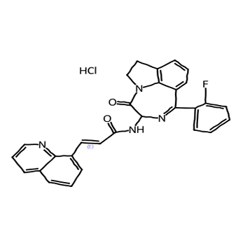 Cl.O=C(/C=C/c1cccc2cccnc12)NC1N=C(c2ccccc2F)c2cccc3c2N(CC3)C1=O